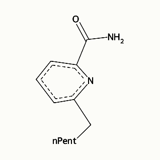 CCCCCCc1cccc(C(N)=O)n1